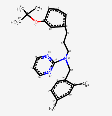 CC(C)(Oc1cccc(CCCN(Cc2ccc(C(F)(F)F)cc2C(F)(F)F)c2ncccn2)c1)C(=O)O